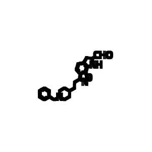 O=CC1Cc2ccc3c(CCC4CCN(Cc5ccccc5)CC4)noc3c2N1